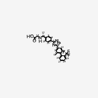 Cc1cc(-c2nc(-c3ccc([C@@H](C)NCC(=O)O)cc3)no2)ccc1-c1ccccc1C(F)(F)F